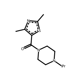 Cc1nc(C)c(C(=O)N2CCN(C(C)C)CC2)s1